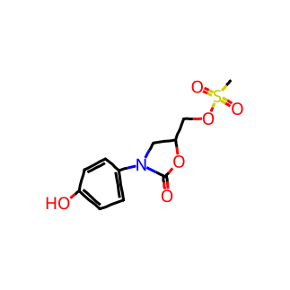 CS(=O)(=O)OCC1CN(c2ccc(O)cc2)C(=O)O1